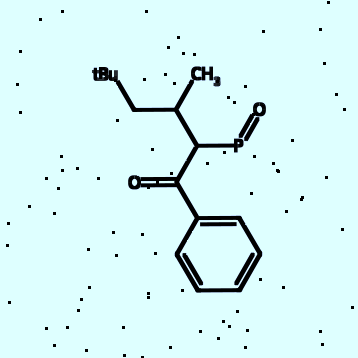 CC(CC(C)(C)C)C(P=O)C(=O)c1ccccc1